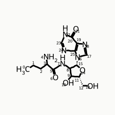 CCCC(N)C(=O)NC1C(O)[C@@H](CO)O[C@H]1n1cnc2c(=O)[nH]cnc21